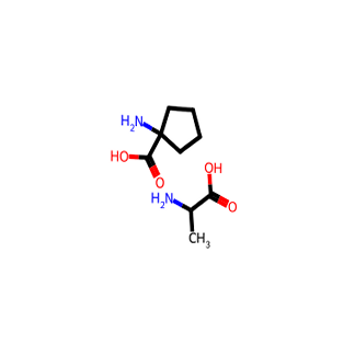 CC(N)C(=O)O.NC1(C(=O)O)CCCC1